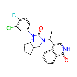 CC(c1c[nH]c(=O)c2ccccc12)N(CC1CCCC1)C(=O)Nc1ccc(F)c(Cl)c1